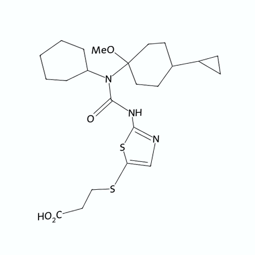 COC1(N(C(=O)Nc2ncc(SCCC(=O)O)s2)C2CCCCC2)CCC(C2CC2)CC1